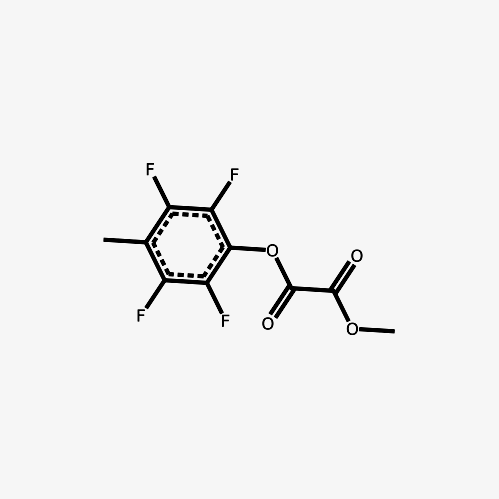 COC(=O)C(=O)Oc1c(F)c(F)c(C)c(F)c1F